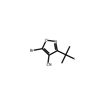 CC(C)(I)c1noc(Br)c1C#N